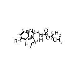 C=C(C)OC(=O)NCc1nc2ccc(Br)cc2n1CC